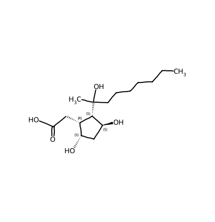 CCCCCCCC(C)(O)[C@H]1[C@@H](CC(=O)O)[C@@H](O)C[C@@H]1O